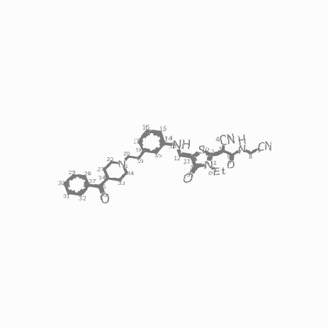 CCn1c(=C(C#N)C(=O)NCC#N)sc(=CNc2cccc(CCN3CCC(C(=O)c4ccccc4)CC3)c2)c1=O